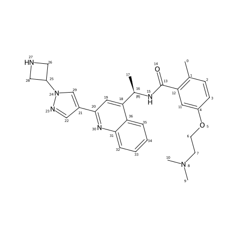 Cc1ccc(OCCN(C)C)cc1C(=O)N[C@H](C)c1cc(-c2cnn(C3CNC3)c2)nc2ccccc12